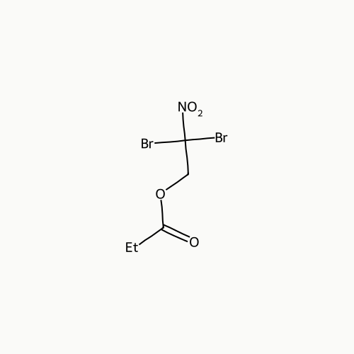 CCC(=O)OCC(Br)(Br)[N+](=O)[O-]